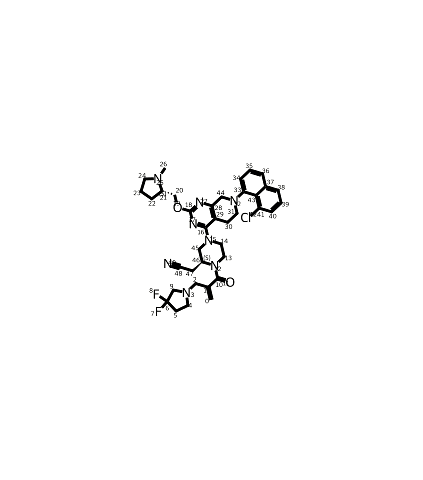 C=C(CN1CCC(F)(F)C1)C(=O)N1CCN(c2nc(OC[C@@H]3CCCN3C)nc3c2CCN(c2cccc4cccc(Cl)c24)C3)C[C@@H]1CC#N